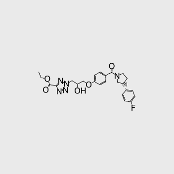 CCOC(=O)c1nnn(CC(O)COc2ccc(C(=O)N3CC[C@H](c4ccc(F)cc4)C3)cc2)n1